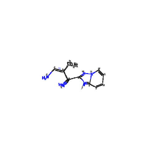 CCOC(=O)/C(=C/N)C(=N)c1nc2ccccn2n1